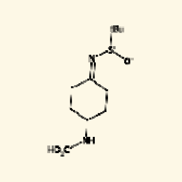 CC(C)(C)[S+]([O-])N=C1CCC(NC(=O)O)CC1